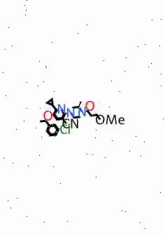 COCCC(=O)N1CCN(c2nc(C3CC3)c(OC(C)c3cccc(Cl)c3)cc2C#N)C[C@H]1C